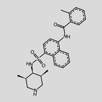 Cc1ccccc1C(=O)Nc1ccc(S(=O)(=O)N[C@@H]2[C@H](C)CNC[C@@H]2C)c2ccccc12